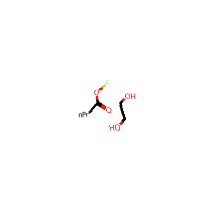 CCCC(=O)OF.OCCO